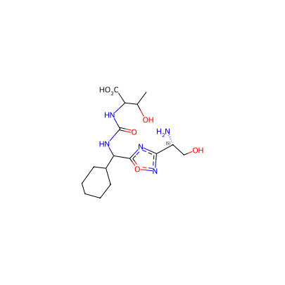 CC(O)C(NC(=O)NC(c1nc([C@H](N)CO)no1)C1CCCCC1)C(=O)O